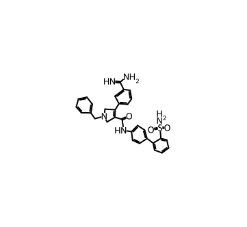 N=C(N)c1cccc(C2=C(C(=O)Nc3ccc(-c4ccccc4S(N)(=O)=O)cc3)CN(Cc3ccccc3)C2)c1